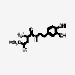 CCC(CC(C)C(=O)NCCc1ccc(O)c(O)c1)C(=O)O